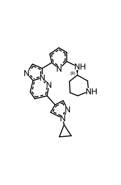 c1cc(N[C@@H]2CCCNC2)nc(-c2cnc3ccc(-c4cnn(C5CC5)c4)nn23)c1